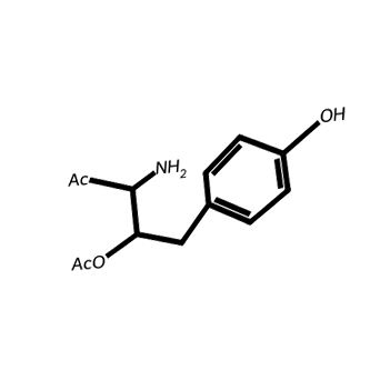 CC(=O)OC(Cc1ccc(O)cc1)C(N)C(C)=O